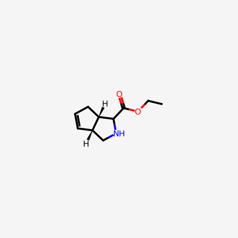 CCOC(=O)C1NC[C@@H]2C=CC[C@H]12